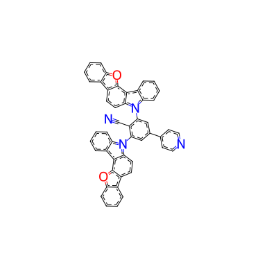 N#Cc1c(-n2c3ccccc3c3c4oc5ccccc5c4ccc32)cc(-c2ccncc2)cc1-n1c2ccccc2c2c3oc4ccccc4c3ccc21